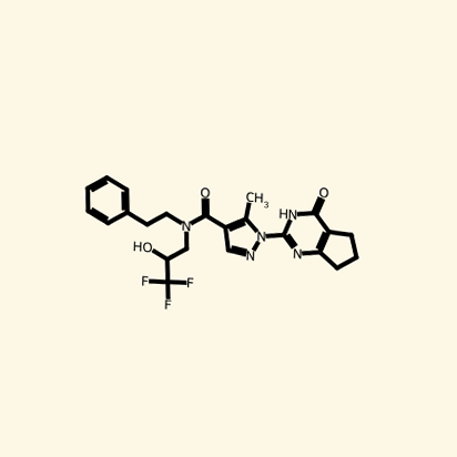 Cc1c(C(=O)N(CCc2ccccc2)CC(O)C(F)(F)F)cnn1-c1nc2c(c(=O)[nH]1)CCC2